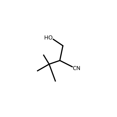 CC(C)(C)C(C#N)CO